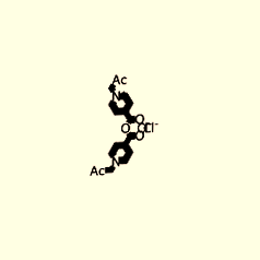 CC(=O)C[n+]1ccc(C(=O)OC(=O)c2cc[n+](CC(C)=O)cc2)cc1.[Cl-].[Cl-]